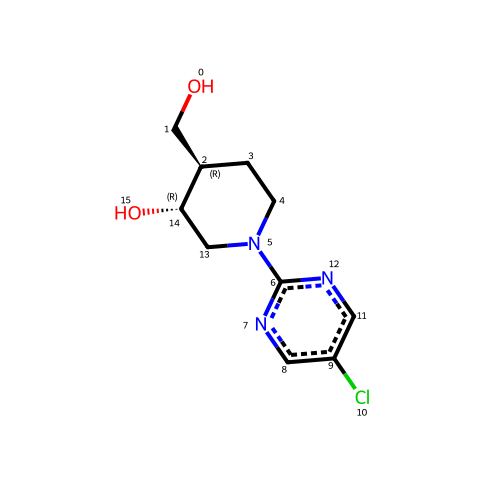 OC[C@H]1CCN(c2ncc(Cl)cn2)C[C@@H]1O